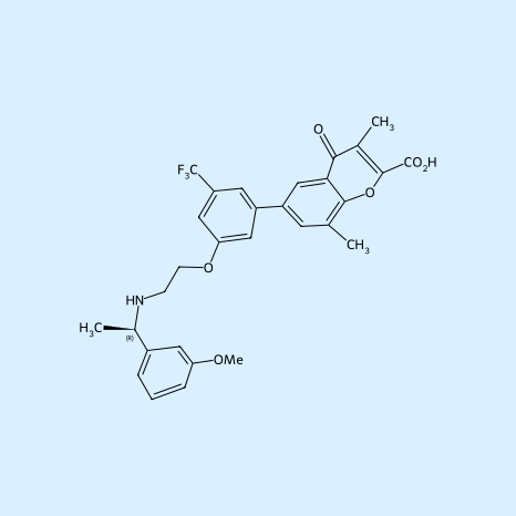 COc1cccc([C@@H](C)NCCOc2cc(-c3cc(C)c4oc(C(=O)O)c(C)c(=O)c4c3)cc(C(F)(F)F)c2)c1